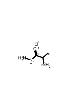 CC(N)C(=O)NN.Cl